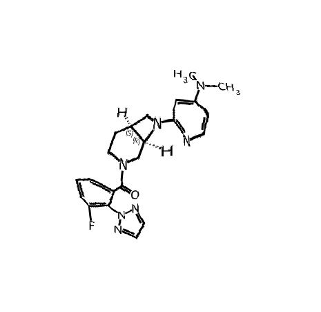 CN(C)c1ccnc(N2C[C@@H]3CCN(C(=O)c4cccc(F)c4-n4nccn4)C[C@@H]32)c1